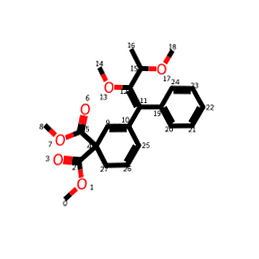 COC(=O)C1(C(=O)OC)C=C(C(=C(OC)C(C)OC)c2ccccc2)C=CC1